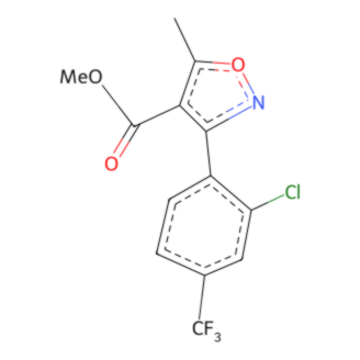 COC(=O)c1c(-c2ccc(C(F)(F)F)cc2Cl)noc1C